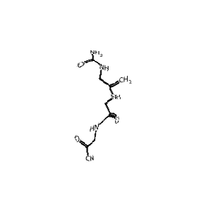 C=C(CNC(N)=O)NCC(=O)NCC(=O)C#N